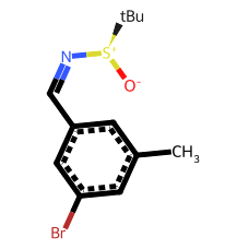 Cc1cc(Br)cc(/C=N\[S@+]([O-])C(C)(C)C)c1